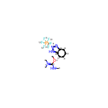 CNC(OC)=[N+](C)C.F[P-](F)(F)(F)(F)F.c1ccc2[nH]nnc2c1